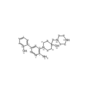 Nc1nnc(-c2ccccc2O)cc1N1CCC(O)(CN2CCNCC2)CC1